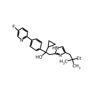 CCC(C)(C)Cc1c[nH]c(CC(O)(c2ccc(-c3ccc(F)cn3)cc2)C2CC2)n1